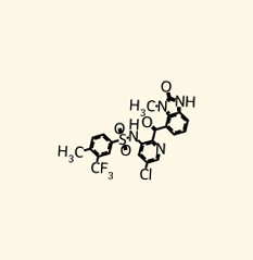 Cc1ccc(S(=O)(=O)Nc2cc(Cl)cnc2C(=O)c2cccc3[nH]c(=O)n(C)c23)cc1C(F)(F)F